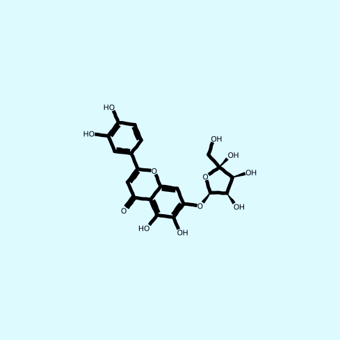 O=c1cc(-c2ccc(O)c(O)c2)oc2cc(O[C@H]3O[C@](O)(CO)[C@@H](O)[C@H]3O)c(O)c(O)c12